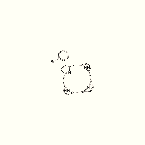 Brc1ccccc1.C1=Cc2cc3ccc(cc4nc(cc5ccc(cc1n2)[nH]5)C=C4)[nH]3